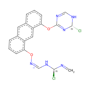 C=N[C@@H](Cl)N/C=N\Oc1cccc2cc3cccc(OC4=N[C@@H](Cl)NC=N4)c3cc12